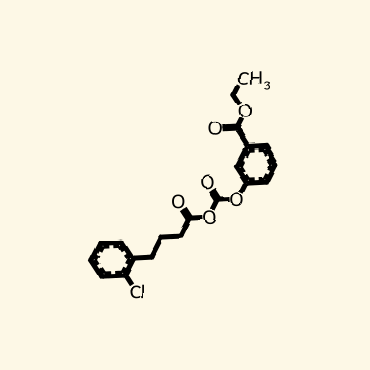 CCOC(=O)c1cccc(OC(=O)OC(=O)CCCc2ccccc2Cl)c1